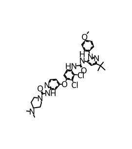 COc1ccc(-n2nc(C(C)(C)C)cc2NC(=O)Nc2ccc(Oc3ccnc(NC(=O)N4CCC(N(C)C)CC4)c3)c(Cl)c2Cl)cc1